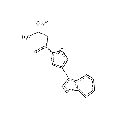 CC(CC(=O)c1cc(-c2coc3ccccc23)co1)C(=O)O